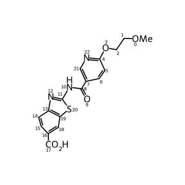 COCCOc1ccc(C(=O)Nc2nc3ccc(C(=O)O)cc3s2)cn1